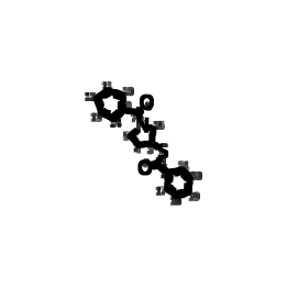 O=C(SC1CCN(C(=O)c2ccccc2)C1)c1ccccc1